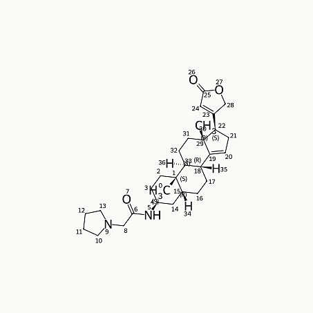 C[C@]12CC[C@H](NC(=O)CN3CCCC3)C[C@H]1CC[C@H]1C3=CC[C@H](C4=CC(=O)OC4)[C@@]3(C)CC[C@@H]12